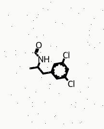 CC(Cc1cc(Cl)cc(Cl)c1)N[C]=O